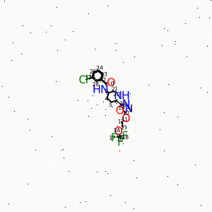 O=C(N[C@H]1CC[C@H](c2nnc(OCCOC(F)(F)F)o2)NC1)c1cccc(Cl)c1